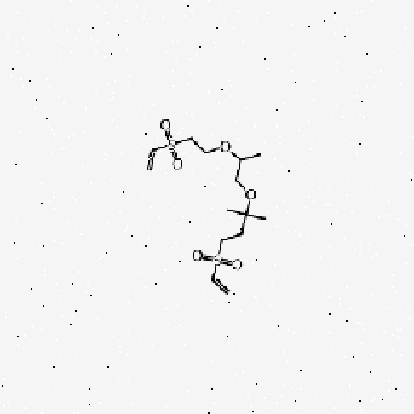 C=CS(=O)(=O)CCOC(C)COC(C)(C)CCS(=O)(=O)C=C